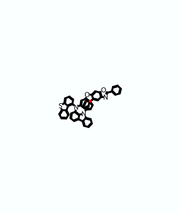 c1ccc(-c2nc3cc4c(cc3o2)oc2cc(N(c3cccc5sc6ccccc6c35)c3cccc5c6ccccc6n(-c6ccccc6)c35)ccc24)cc1